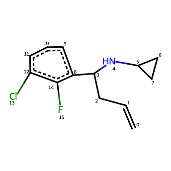 C=CCC(NC1CC1)c1cccc(Cl)c1F